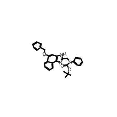 CC(C)(C)OC(=O)N(Cc1nc2c(cc(OCc3ccccc3)c3ccccc32)[nH]1)c1ccccc1